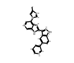 Cc1cn(-c2cncc3[nH]c(-c4n[nH]c5ccc(-c6cccnc6)cc45)nc23)cn1